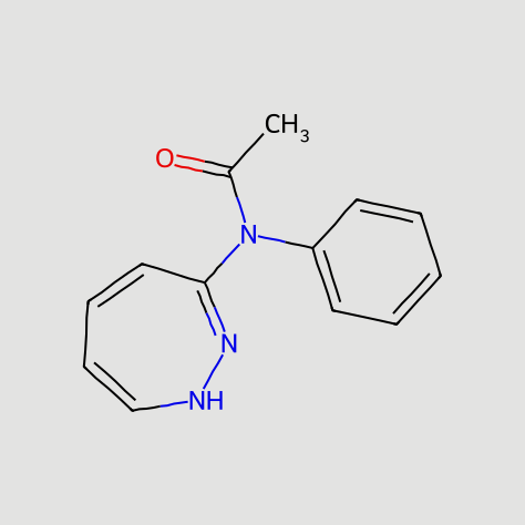 CC(=O)N(C1=NNC=CC=C1)c1ccccc1